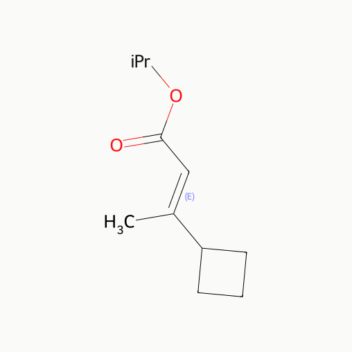 C/C(=C\C(=O)OC(C)C)C1CCC1